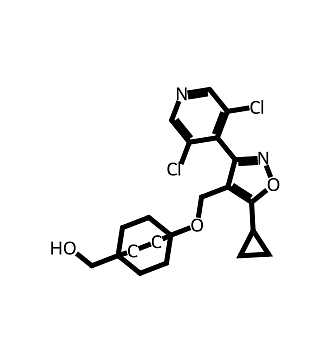 OCC12CCC(OCc3c(-c4c(Cl)cncc4Cl)noc3C3CC3)(CC1)CC2